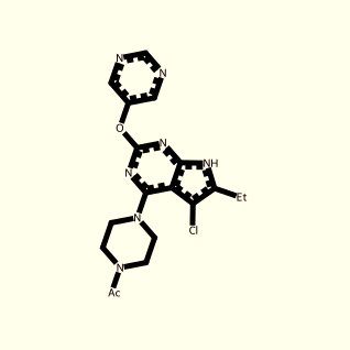 CCc1[nH]c2nc(Oc3cncnc3)nc(N3CCN(C(C)=O)CC3)c2c1Cl